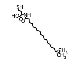 CN(C)CCCCCCCCCCCCCCCCC(=O)NC(CCS)C(=O)O